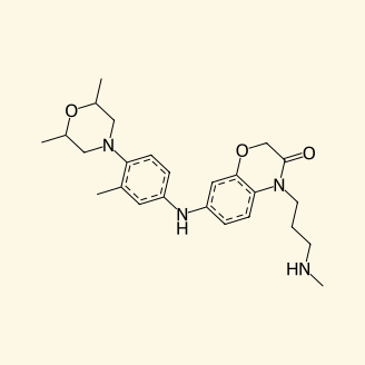 CNCCCN1C(=O)COc2cc(Nc3ccc(N4CC(C)OC(C)C4)c(C)c3)ccc21